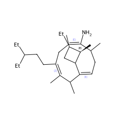 CC/C1=C(\N)C(C)C/C=C(\C2CC(C)[C@H]2C)C(C)/C(C)=C(/CCC(CC)CC)C1